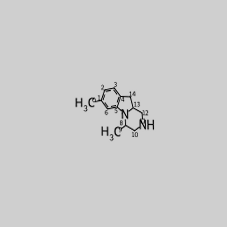 Cc1ccc2c(c1)N1C(C)CNCC1C2